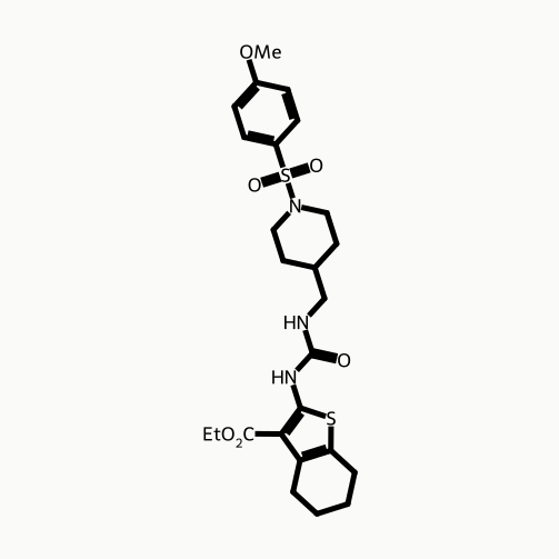 CCOC(=O)c1c(NC(=O)NCC2CCN(S(=O)(=O)c3ccc(OC)cc3)CC2)sc2c1CCCC2